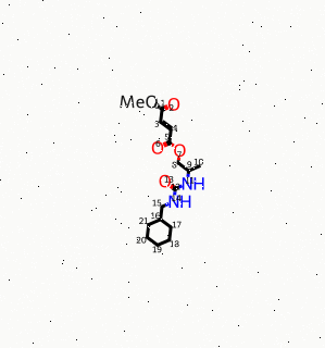 COC(=O)/C=C/C(=O)OCC(C)NC(=O)NCC1CCCCC1